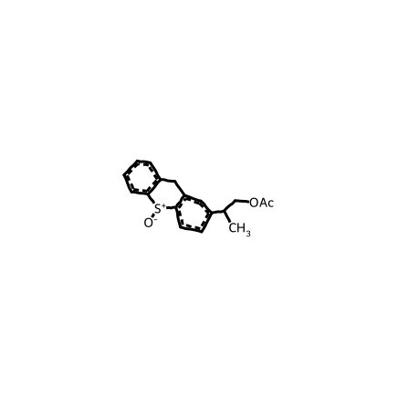 CC(=O)OCC(C)c1ccc2c(c1)Cc1ccccc1[S+]2[O-]